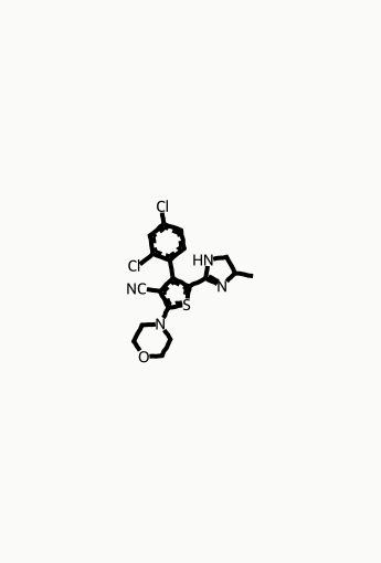 CC1CNC(c2sc(N3CCOCC3)c(C#N)c2-c2ccc(Cl)cc2Cl)=N1